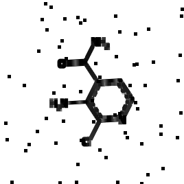 NC(=O)c1ccnc(Cl)c1N